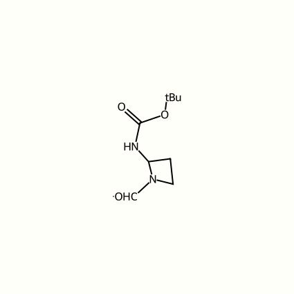 CC(C)(C)OC(=O)NC1CCN1[C]=O